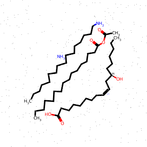 CCCCCCCCCCCCCCCC(=O)OC(C)=O.CCCCCCCCCCCCCCCCN.CCCCCC[C@@H](O)C/C=C\CCCCCCCC(=O)O.N